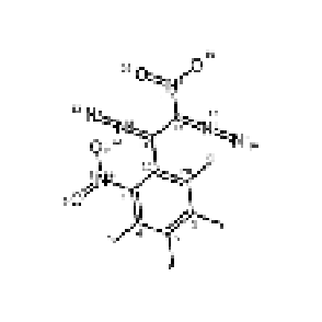 Cc1c(C)c(C)c([N+](=O)[O-])c(C(=[N+]=[N-])C(=[N+]=[N-])[N+](=O)[O-])c1C